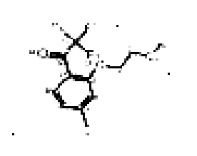 COCCOc1cc(Cl)ccc1C(=O)C(F)(F)F